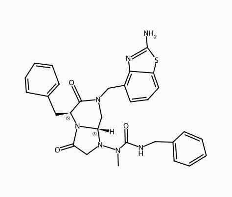 CN(C(=O)NCc1ccccc1)N1CC(=O)N2[C@@H](Cc3ccccc3)C(=O)N(Cc3cccc4sc(N)nc34)C[C@@H]21